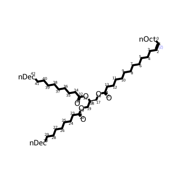 CCCCCCCC/C=C\CCCCCCCCCCCC(=O)OC[C@@H](COC(=O)CCCCCCCCCCCCCCCCC)OC(=O)CCCCCCCCCCCCCCCCCC